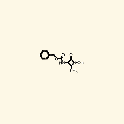 CC1C(NC(=O)OCc2ccccc2)C(=O)N1O